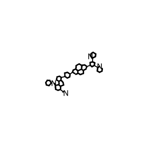 N#Cc1ccc2c3c1ccc1c(-c4ccc(-c5cc6ccc7cc(-c8cc(-c9ccccn9)cc(-c9ccccn9)c8)cc8ccc(c5)c6c78)cc4)ccc(c13)n2-c1ccccc1